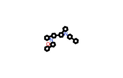 c1ccc(-c2ccc(-n3c4ccccc4c4cc(-c5ccc6c7ccccc7n(-c7cccc8c7oc7ccccc78)c6c5)ccc43)cc2)cc1